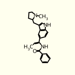 CC=C(NC(=O)c1ccccc1)c1ccc2[nH]cc(CC3CCCN3C)c2c1